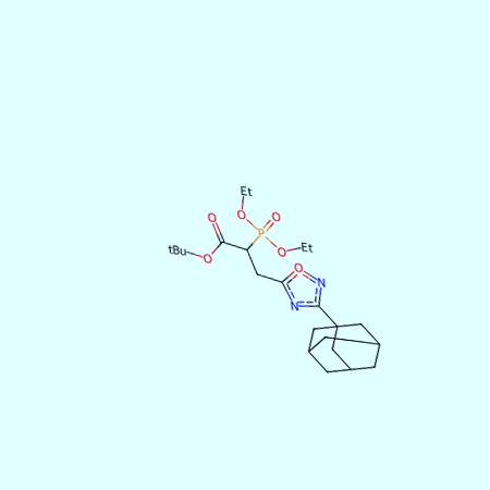 CCOP(=O)(OCC)C(Cc1nc(C23CC4CC(CC(C4)C2)C3)no1)C(=O)OC(C)(C)C